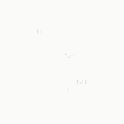 CC/C(C=N)=C/NC1CCC(C)C1